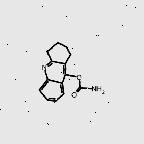 NC(=O)Oc1c2c(nc3ccccc13)CCCC2